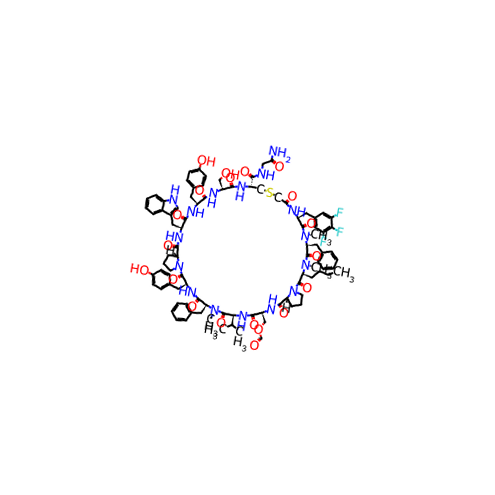 CCCC[C@H]1C(=O)N2CCC[C@@H]2C(=O)N[C@@H](COC=O)C(=O)N[C@@H](C(C)C)C(=O)N(C)[C@@H](Cc2ccccc2)C(=O)N[C@@H](Cc2ccc(O)cc2)C(=O)N2CCC[C@@H]2C(=O)N[C@@H](Cc2c[nH]c3ccccc23)C(=O)N[C@@H](Cc2ccc(O)cc2)C(=O)N[C@@H](CO)C(=O)N[C@H](C(=O)NCC(N)=O)CSCC(=O)N[C@@H](Cc2cc(F)c(F)c(F)c2)C(=O)N(C)[C@@H](Cc2ccccc2)C(=O)N1C